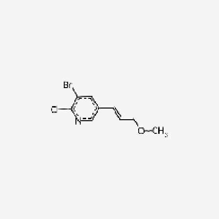 COCC=Cc1cnc(Cl)c(Br)c1